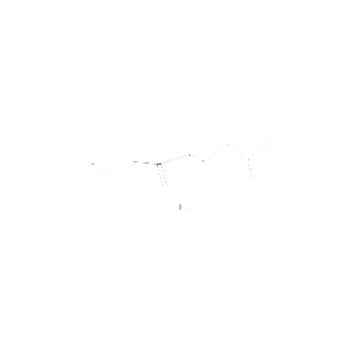 Br.CCOCC(=O)CCCN(C)C